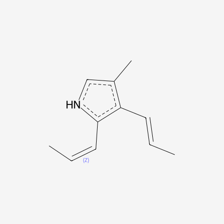 CC=Cc1c(C)c[nH]c1/C=C\C